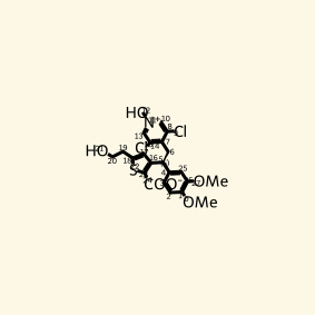 COc1ccc([C@H](Cc2c(Cl)c[n+](O)cc2Cl)c2cc(CCO)sc2C(=O)[O-])cc1OC